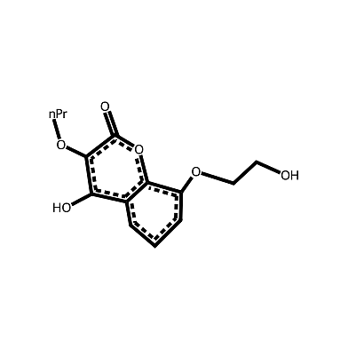 CCCOc1c(O)c2cccc(OCCO)c2oc1=O